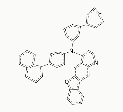 c1ccc(-c2cccc(N(c3ccc(-c4cccc5ccccc45)cc3)c3ccnc4cc5c(cc34)oc3ccccc35)c2)cc1